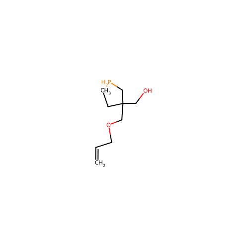 C=CCOCC(CC)(CO)CP